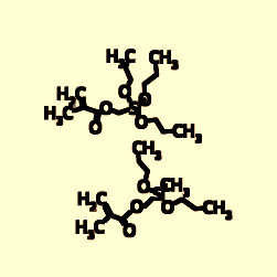 C=C(C)C(=O)OC[Si](C)(OCCC)OCCC.C=C(C)C(=O)OC[Si](OCCC)(OCCC)OCCC